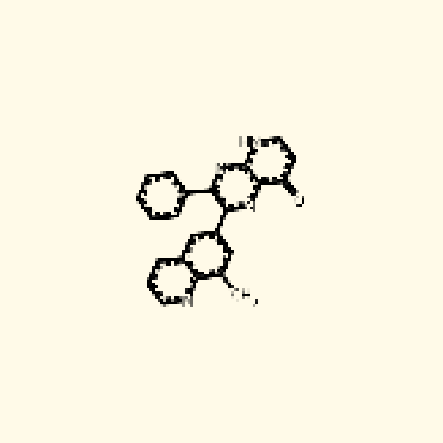 Cc1cc(-c2nc3c(=O)cc[nH]c3nc2-c2ccccc2)cc2cccnc12